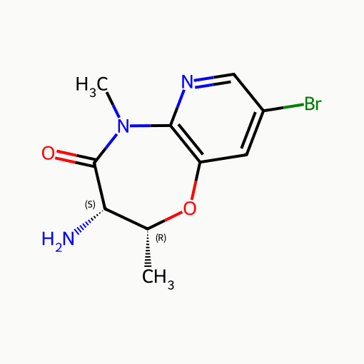 C[C@H]1Oc2cc(Br)cnc2N(C)C(=O)[C@H]1N